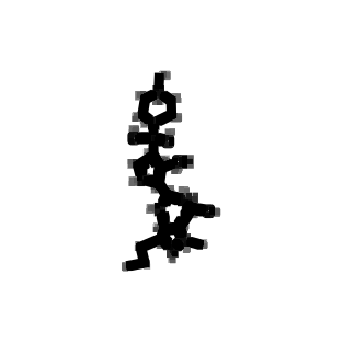 CCCc1nn(C)c2c(=O)[nH]c(-c3scc(S(=O)(=O)N4CCN(C)CC4)c3O)nc12